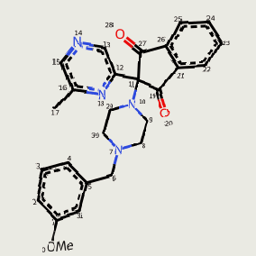 COc1cccc(CN2CCN(C3(c4cncc(C)n4)C(=O)c4ccccc4C3=O)CC2)c1